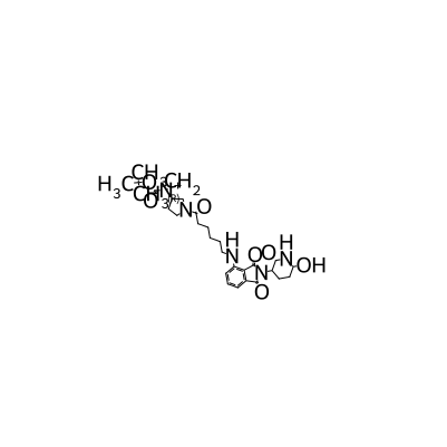 C=[N+](C(=O)OC(C)(C)C)[C@@H]1CCN(C(=O)CCCCCNc2cccc3c2C(=O)N(C2CCC(O)NC2=O)C3=O)C1